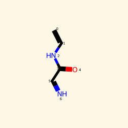 C=CNC(=O)C=N